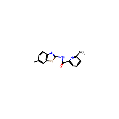 Cc1ccc2nc(NC(=O)c3cccc([N+](=O)[O-])n3)sc2c1